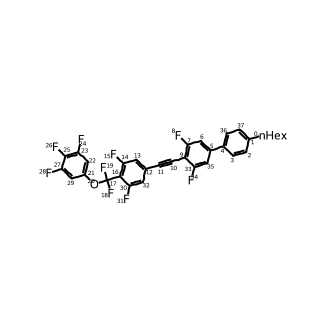 CCCCCCc1ccc(-c2cc(F)c(C#Cc3cc(F)c(C(F)(F)Oc4cc(F)c(F)c(F)c4)c(F)c3)c(F)c2)cc1